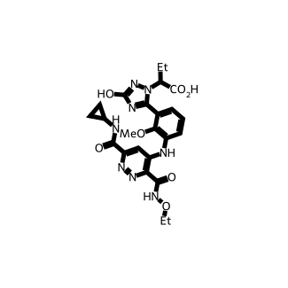 CCONC(=O)c1nnc(C(=O)NC2CC2)cc1Nc1cccc(-c2nc(O)nn2C(CC)C(=O)O)c1OC